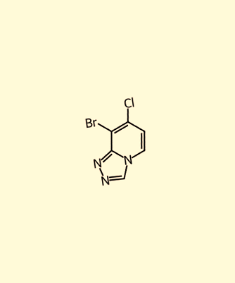 Clc1ccn2cnnc2c1Br